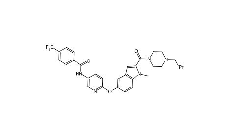 CC(C)CN1CCN(C(=O)c2cc3cc(Oc4ccc(NC(=O)c5ccc(C(F)(F)F)cc5)cn4)ccc3n2C)CC1